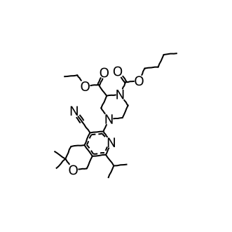 CCCCOC(=O)N1CCN(c2nc(C(C)C)c3c(c2C#N)CC(C)(C)OC3)CC1C(=O)OCC